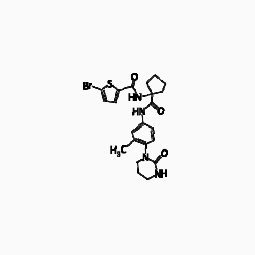 Cc1cc(NC(=O)C2(NC(=O)c3ccc(Br)s3)CCCC2)ccc1N1CCCNC1=O